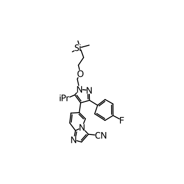 CC(C)c1c(-c2ccc3ncc(C#N)n3c2)c(-c2ccc(F)cc2)nn1COCC[Si](C)(C)C